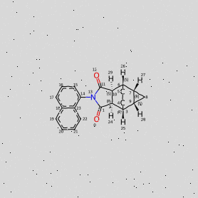 O=C1[C@@H]2[C@@H]3CC[C@@H]([C@@H]4C[C@@H]43)[C@@H]2C(=O)N1c1cccc2ccccc12